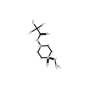 CN=S1(=O)CCN(OC(=O)C(F)(F)F)CC1